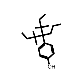 CCCC(c1ccc(O)cc1)(C(C)(C)CC)C(C)(C)CC